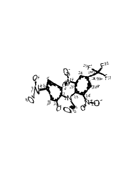 O=CN(c1ccc([N+](=O)[O-])cc1Cl)c1c([N+](=O)[O-])cc(C(F)(F)F)cc1[N+](=O)[O-]